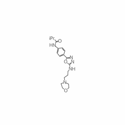 CC(C)C(=O)Nc1ccc(-c2nnc(NCCCN3CCOCC3)o2)cc1